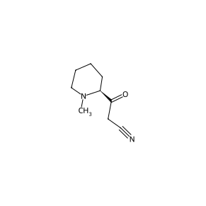 CN1CCCC[C@H]1C(=O)CC#N